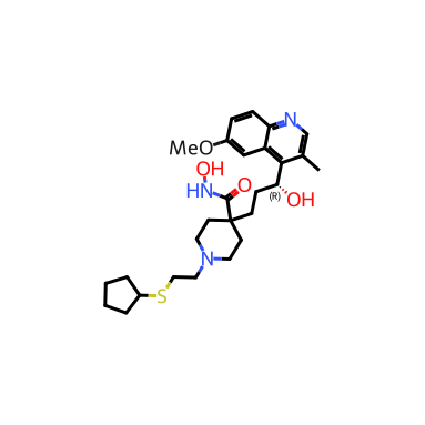 COc1ccc2ncc(C)c([C@H](O)CCC3(C(=O)NO)CCN(CCSC4CCCC4)CC3)c2c1